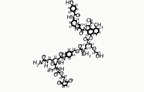 Cc1cccc2c(OC(=O)N(CCOCCO)CCN(C)C(=O)OCc3ccc(NC(=O)[C@H](CCCNC(N)=O)NC(=O)[C@@H](NC(=O)OCCN4C(=O)C=CC4=O)C(C)C)cc3)cc3c(c12)[C@H](CCl)CN3C(=O)c1cn2cc(NC(=O)c3ccc(O)cc3)ccc2n1